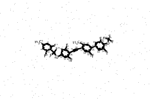 Cc1cc(F)c(C(F)(F)Oc2cc(F)c(C#Cc3cc(F)c(-c4cc(F)c(OC(F)(F)F)c(F)c4)cc3C)c(F)c2)c(F)c1